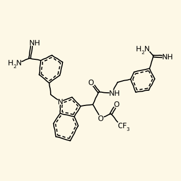 N=C(N)c1cccc(CNC(=O)C(OC(=O)C(F)(F)F)c2cn(Cc3cccc(C(=N)N)c3)c3ccccc23)c1